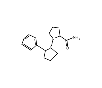 NC(=O)C1CCCN1N1CCCC1c1ccccc1